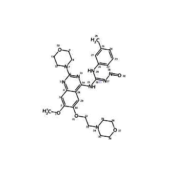 COc1cc2nc(N3CCOCC3)nc(N/C(=N/N=O)Nc3cccc(C)c3)c2cc1OCCN1CCOCC1